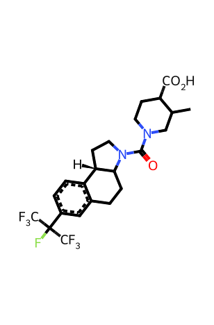 CC1CN(C(=O)N2CC[C@H]3c4ccc(C(F)(C(F)(F)F)C(F)(F)F)cc4CCC32)CCC1C(=O)O